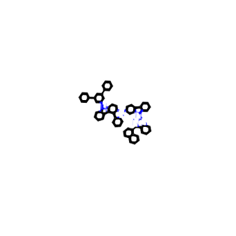 c1ccc(-c2cc(-c3ccccc3)cc(-n3c4ccccc4c4c5c6ccccc6n(-c6ccc7c8ccccc8n(-c8nc(-c9cccc%10ccccc9%10)c9ccccc9n8)c7c6)c5ccc43)c2)cc1